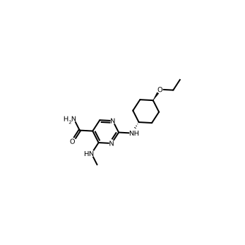 CCO[C@H]1CC[C@H](Nc2ncc(C(N)=O)c(NC)n2)CC1